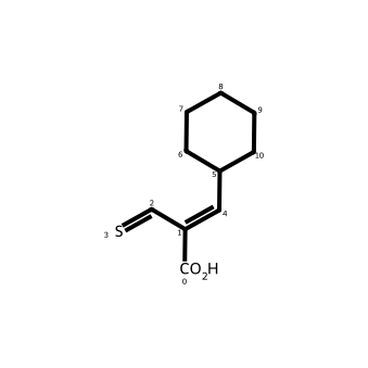 O=C(O)C(C=S)=CC1CCCCC1